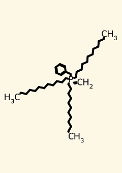 C=CP(CCCCCCCCCCCC)(CCCCCCCCCCCC)(CCCCCCCCCCCC)Cc1ccccc1